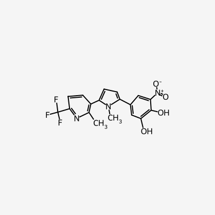 Cc1nc(C(F)(F)F)ccc1-c1ccc(-c2cc(O)c(O)c([N+](=O)[O-])c2)n1C